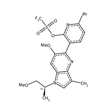 COC[C@H](C)n1cc(C)c2nc(-c3ccc(C(C)C)nc3OS(=O)(=O)C(F)(F)F)c(OC)cc21